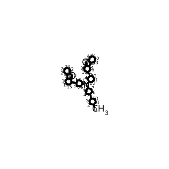 Cc1ccc(-c2ccc(N(c3ccc(-c4cccc5c4oc4ccccc45)cc3)c3cccc(-c4ccc5oc6ccccc6c5c4)c3)cc2)cc1